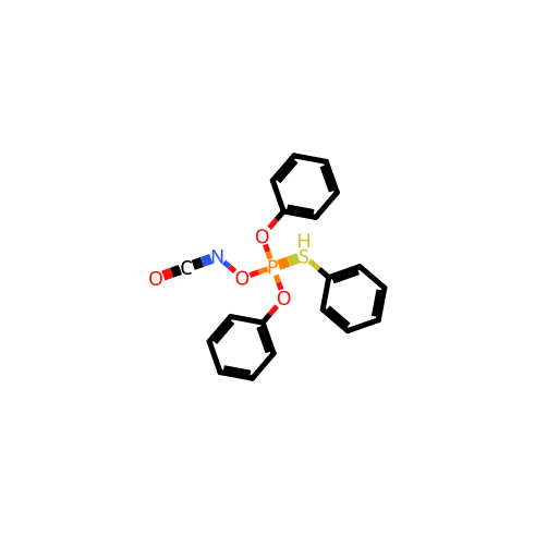 O=C=NOP(Oc1ccccc1)(Oc1ccccc1)=[SH]c1ccccc1